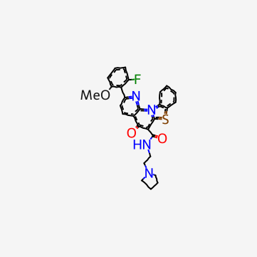 COc1cccc(F)c1-c1ccc2c(=O)c(C(=O)NCCN3CCCC3)c3sc4ccccc4n3c2n1